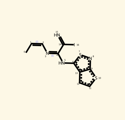 C/C=C\N=C(\Nc1snc2sccc12)C(=N)I